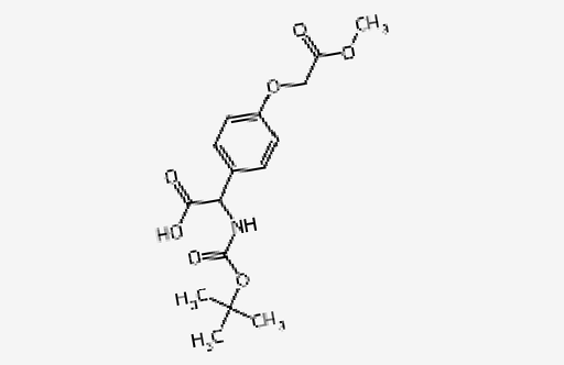 COC(=O)COc1ccc(C(NC(=O)OC(C)(C)C)C(=O)O)cc1